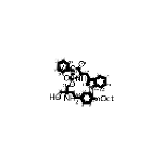 CCCCCCCCc1ccc(CCC(N)(CO)COP(=O)(NC(Cc2c[nH]c3ccccc23)C(=O)OC)Oc2ccccc2)cc1